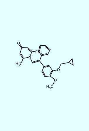 COc1ccc(C(=Cn2c(C)cc(=O)cc2C)c2ccccc2)cc1OCC1CC1